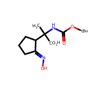 CC(C)(C)OC(=O)NC(C)(C(=O)O)C1CCC/C1=N\O